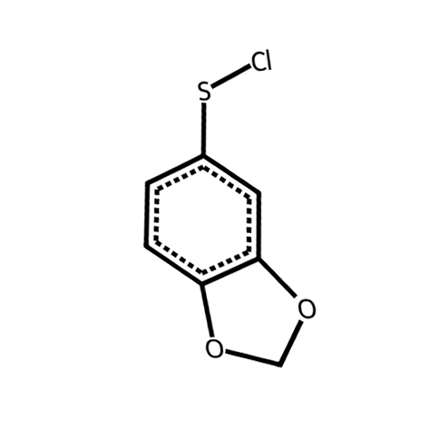 ClSc1ccc2c(c1)OCO2